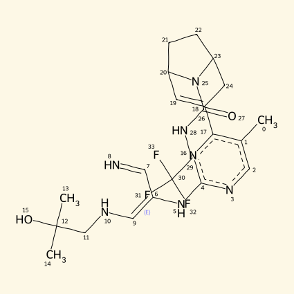 Cc1cnc(N/C(C=N)=C/NCC(C)(C)O)nc1C1=CC2CCC(C1)N2C(=O)NCC(F)(F)F